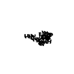 C[C@H]1CNC[C@H](C)N1c1nc(-c2cccc(N)c2F)c(-c2ccnc(NC3CC4(C3)CS(=O)(=O)C4)n2)s1